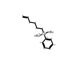 C=CCCC[CH2][Ge]([CH2]CCC)([CH2]CCC)[c]1ccccc1